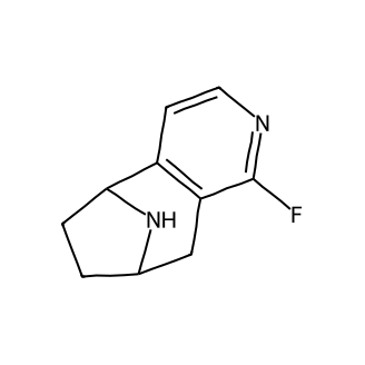 Fc1nccc2c1CC1CCC2N1